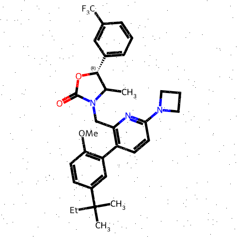 CCC(C)(C)c1ccc(OC)c(-c2ccc(N3CCC3)nc2CN2C(=O)O[C@H](c3cccc(C(F)(F)F)c3)C2C)c1